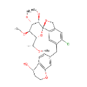 CCCCO[C@H]1[C@H](OCCCC)[C@@H](OCCCC)[C@@]2(OCc3cc(Cl)c(Cc4ccc5c(c4)OCCC5O)cc32)O[C@@H]1[C@@H](C)OCCCC